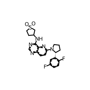 O=S1(=O)CCC(Nc2ncnc3ccc(N4CCC[C@@H]4c4cc(F)ccc4F)nc23)C1